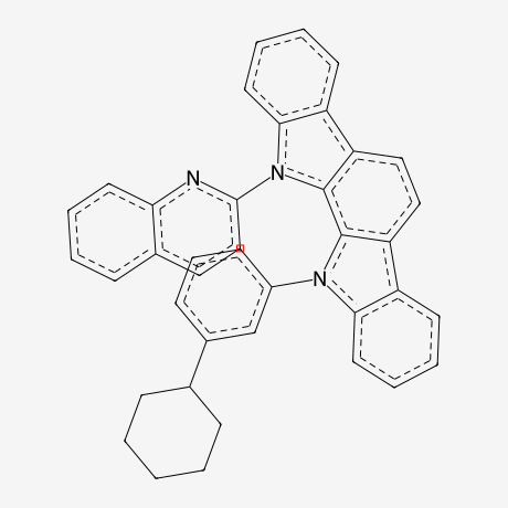 c1cc(C2CCCCC2)cc(-n2c3ccccc3c3ccc4c5ccccc5n(-c5ccc6ccccc6n5)c4c32)c1